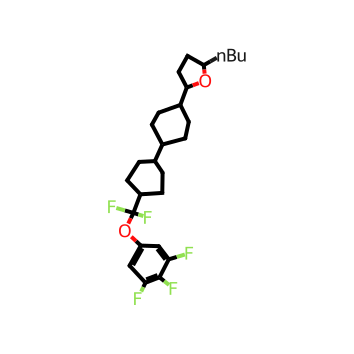 CCCCC1CCC(C2CCC(C3CCC(C(F)(F)Oc4cc(F)c(F)c(F)c4)CC3)CC2)O1